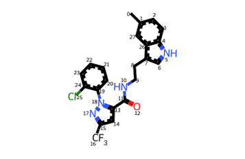 Cc1ccc2[nH]cc(CCNC(=O)c3cc(C(F)(F)F)nn3-c3ccccc3Cl)c2c1